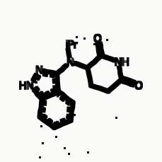 CC(C)N(c1n[nH]c2ccccc12)C1CCC(=O)NC1=O